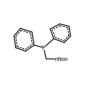 [CH2]CCCCCCCCCP(c1ccccc1)c1ccccc1